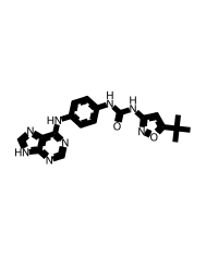 CC(C)(C)c1cc(NC(=O)Nc2ccc(Nc3ncnc4[nH]cnc34)cc2)no1